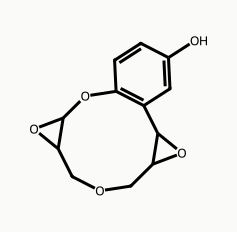 Oc1ccc2c(c1)C1OC1COCC1OC1O2